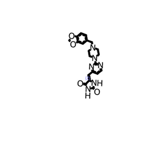 O=C1NC(=O)/C(=C/c2ccnc(N3CCN(Cc4ccc5c(c4)OCO5)CC3)n2)N1